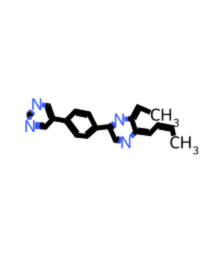 C\C=C/C=c1/ncc(-c2ccc(-c3cncnc3)cc2)n/c1=C/C